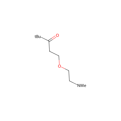 CNCCOCCC(=O)C(C)(C)C